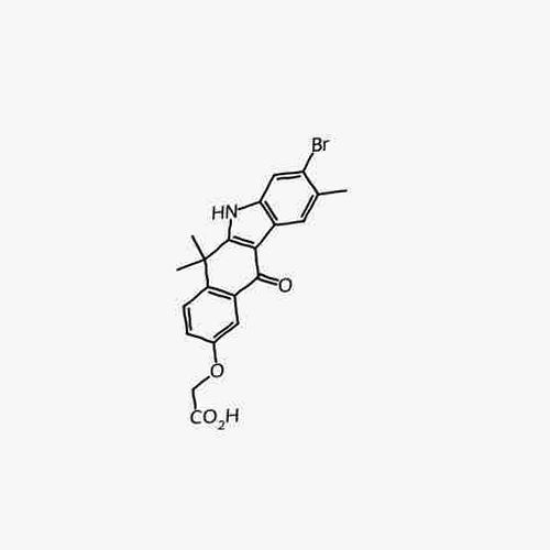 Cc1cc2c3c([nH]c2cc1Br)C(C)(C)c1ccc(OCC(=O)O)cc1C3=O